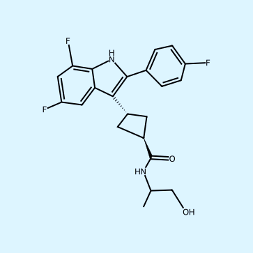 CC(CO)NC(=O)[C@H]1C[C@H](c2c(-c3ccc(F)cc3)[nH]c3c(F)cc(F)cc32)C1